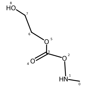 CNOC(=O)OCCO